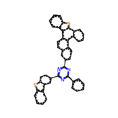 c1ccc(-c2nc(-c3ccc4c(ccc5c4c4ccccc4c4sc6ccccc6c54)c3)nc(-c3ccc4sc5ccccc5c4c3)n2)cc1